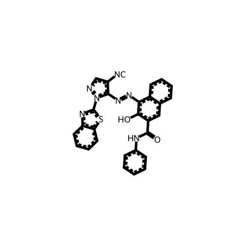 [C-]#[N+]c1cnn(-c2nc3ccccc3s2)c1/N=N/c1c(O)c(C(=O)Nc2ccccc2)cc2ccccc12